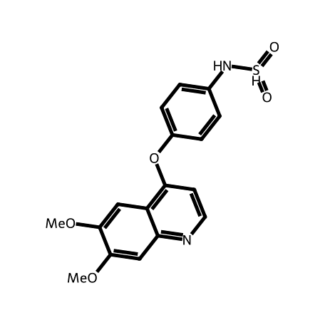 COc1cc2nccc(Oc3ccc(N[SH](=O)=O)cc3)c2cc1OC